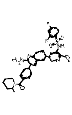 COc1ncc(-c2ccc3nc(N)c(-c4ccc(C(=O)N5CCCCC5C)cc4)cc3c2)cc1NS(=O)(=O)c1ccc(F)cc1F